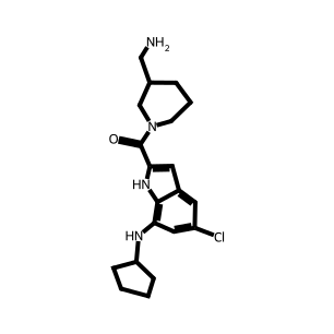 NCC1CCCN(C(=O)c2cc3cc(Cl)cc(NC4CCCC4)c3[nH]2)C1